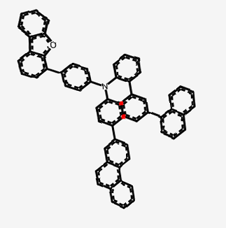 c1cc(-c2ccccc2N(c2ccc(-c3ccc4c(ccc5ccccc54)c3)cc2)c2ccc(-c3cccc4c3oc3ccccc34)cc2)cc(-c2cccc3ccccc23)c1